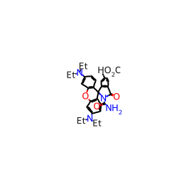 CCN(CC)c1ccc2c(c1)Oc1cc(N(CC)CC)ccc1C21c2cc(C(=O)O)ccc2C(=O)N1C(N)=O